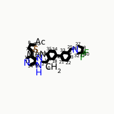 C=C(c1nc2c(-c3ccc(C(C)=O)s3)cncc2[nH]1)c1cc(-c2cccc(CN3CCC(F)(F)C3)c2)ccc1NC